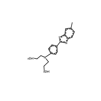 CCCCCCCCCCCCN(CCCCCCCCCCCC)c1ccc(-c2nc3ccc(C)cc3s2)cc1